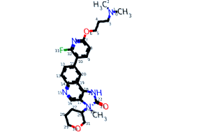 CN(C)CCCOc1ccc(-c2ccc3ncc4c(c3c2)NC(=O)[N+]4(C)C2CCCOC2)c(F)n1